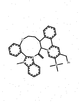 C=C1C2C(CCOc3ccccc3-c3n(C)c4ccccc4[n+]31)c1ccccc1-c1cc(CC(C)C)c([Si](C)(C)C)c[n+]12